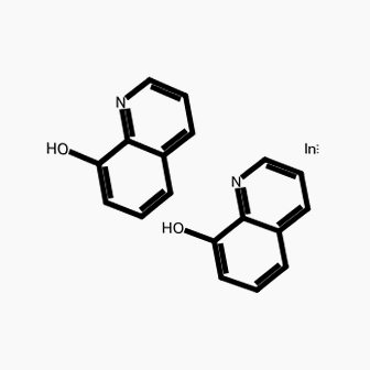 Oc1cccc2cccnc12.Oc1cccc2cccnc12.[In]